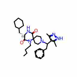 CCCCN1C(=O)[C@H](CC2CCCCC2)NC(=O)C12CCN(C(Cc1ccccc1)c1c(C)n[nH]c1C)CC2